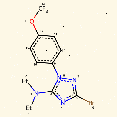 CCN(CC)c1nc(Br)nn1-c1ccc(OC(F)(F)F)cc1